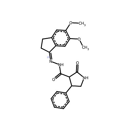 COc1cc2c(cc1OC)/C(=N\NC(=O)C1C(=O)NCC1c1ccccc1)CC2